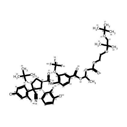 CC(OC(=O)OCCOC(C)(C)COC(C)(C)C)OC(=O)c1ccc(NC(=O)[C@@H]2C[C@@H](CC(C)(C)C)C(C#N)(c3ccc(Cl)cc3F)[C@H]2c2cccc(Cl)c2F)c(OC(F)(F)F)c1